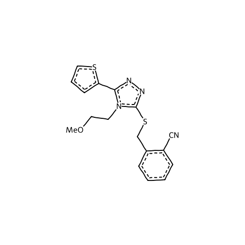 COCCn1c(SCc2ccccc2C#N)nnc1-c1cccs1